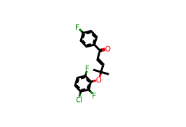 CC(C)(/C=C/C(=O)c1ccc(F)cc1)Oc1c(F)ccc(Cl)c1F